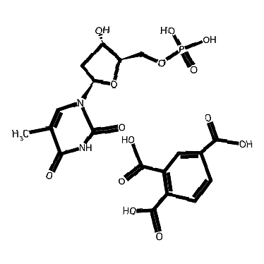 Cc1cn([C@H]2C[C@H](O)[C@@H](COP(=O)(O)O)O2)c(=O)[nH]c1=O.O=C(O)c1ccc(C(=O)O)c(C(=O)O)c1